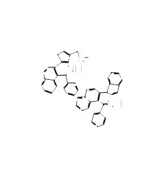 CN(C)CC1=CCC(c2ccc3ccccc3c2C(N)c2ccccc2)=C1.N=C(c1ccccc1)c1c(C2C=Cc3ccccc32)ccc2ccccc12